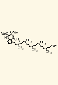 COC1=C(OC)Nc2cccc(CCC(C)CCCC(C)CCCC(C)CCCC(C)CCCC(C)CCCC(C)C)c2C(C)=N1